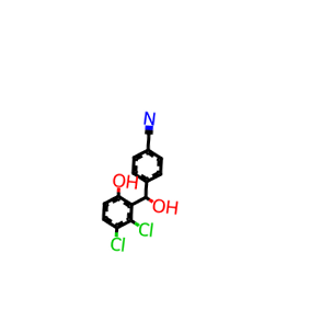 N#Cc1ccc(C(O)c2c(O)ccc(Cl)c2Cl)cc1